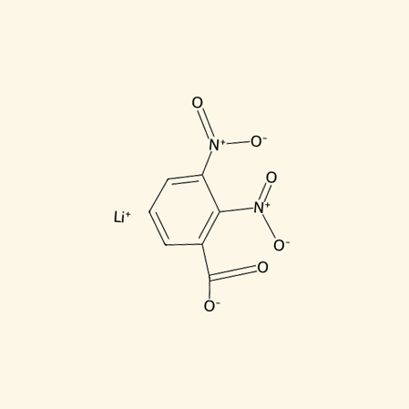 O=C([O-])c1cccc([N+](=O)[O-])c1[N+](=O)[O-].[Li+]